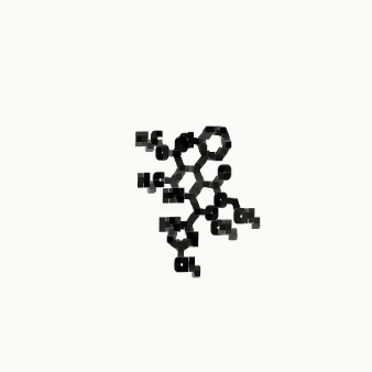 CCOC(=O)C1=C(C(OC)c2nc(C)c[nH]2)NC(C)=C(C(=O)OC)C1c1ccccc1Cl